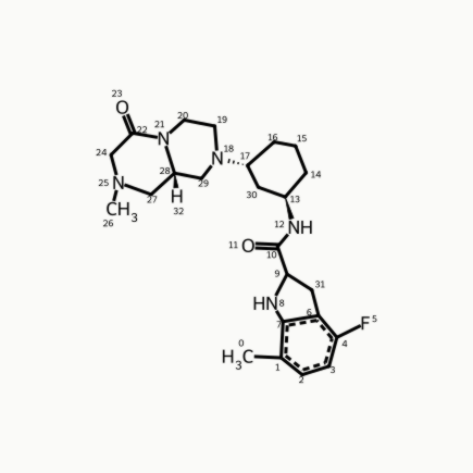 Cc1ccc(F)c2c1NC(C(=O)N[C@@H]1CCC[C@@H](N3CCN4C(=O)CN(C)C[C@H]4C3)C1)C2